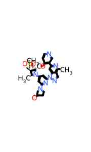 COc1ccncc1-c1cc2c(cnn2-c2cc(N3C[C@H](CS(C)(=O)=O)[C@H]3C)cc(N3CCC(=O)C3)n2)c(C)n1